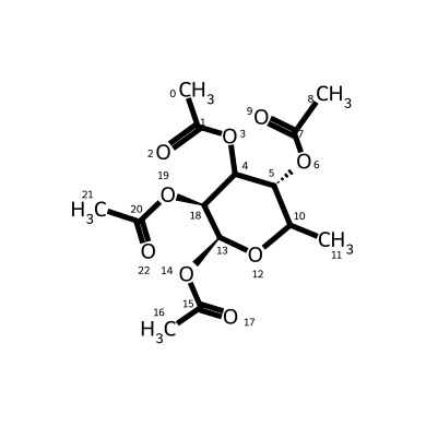 CC(=O)OC1[C@H](OC(C)=O)C(C)O[C@@H](OC(C)=O)[C@H]1OC(C)=O